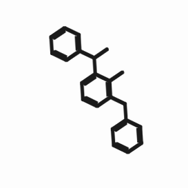 Cc1c(Cc2ccccc2)cccc1C(C)c1ccccc1